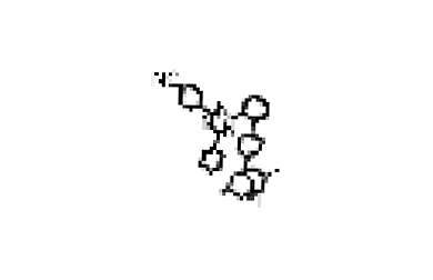 C[C@@H]1C[C@@H]2C[C@H](C)CC(c3ccc(-c4ccccc4-c4nc(-c5ccccc5)nc(-c5ccc(C#N)cc5)n4)cc3)(C1)C2